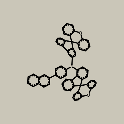 c1ccc2c(c1)Oc1ccccc1C21c2ccccc2-c2cc(N(c3ccc(-c4ccc5ccccc5c4)cc3)c3cccc4c3-c3ccccc3C43c4ccccc4Oc4ccccc43)ccc21